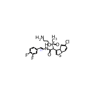 CP(=O)(OCCN)C(C(=O)N/C=C/c1ccc(F)c(F)c1)C1=CSC2C=CC(Cl)=CC12